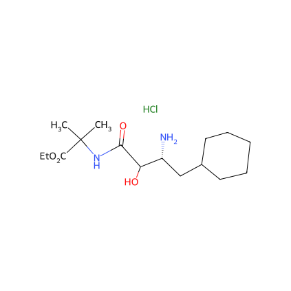 CCOC(=O)C(C)(C)NC(=O)C(O)[C@H](N)CC1CCCCC1.Cl